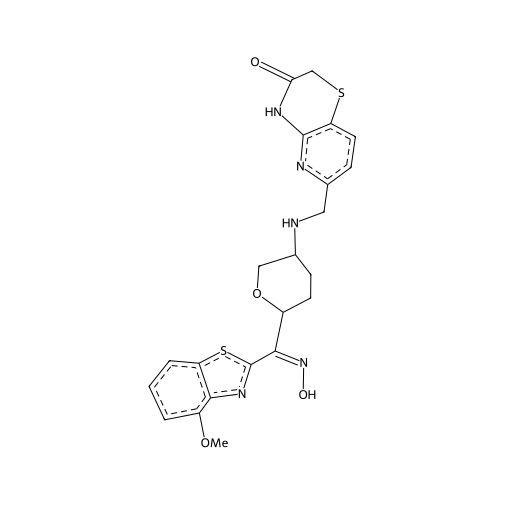 COc1cccc2sc(C(=NO)C3CCC(NCc4ccc5c(n4)NC(=O)CS5)CO3)nc12